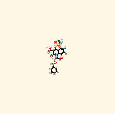 O=C(O)c1c(OS(=O)(=O)C(F)(F)F)c2cc(F)c(Br)c3c2n(c1=O)[C@@H](COCc1ccccc1)CO3